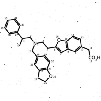 CC(CN(CCc1cc2cc(CC(=O)O)ccc2o1)Cc1ccc2c(c1)CCO2)c1ccccc1